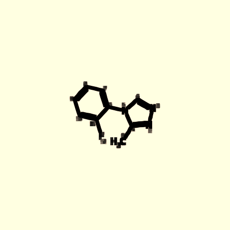 Cc1nncn1-c1ccccc1F